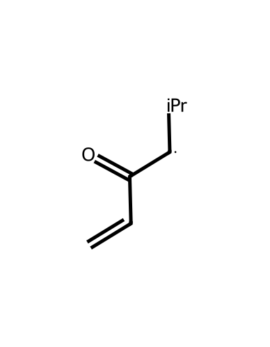 C=CC(=O)[CH]C(C)C